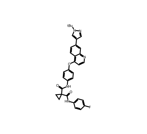 CC(C)(C)n1cc(-c2ccc3c(Oc4ccc(NC(=O)C5(C(=O)Nc6ccc(F)cc6)CC5)cc4)ccnc3c2)cn1